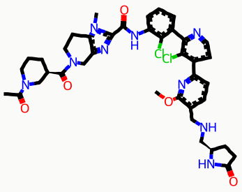 COc1nc(-c2ccnc(-c3cccc(NC(=O)c4nc5c(n4C)CCN(C(=O)[C@@H]4CCCN(C(C)=O)C4)C5)c3Cl)c2Cl)ccc1CNC[C@H]1CCC(=O)N1